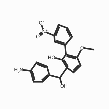 COc1ccc(C(O)c2ccc(N)cc2)c(O)c1-c1cccc([N+](=O)[O-])c1